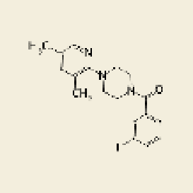 Cc1cnc(N2CCN(C(=O)c3[c]c(F)ccc3)CC2)c(C)c1